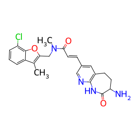 Cc1c(CN(C)C(=O)/C=C/c2cnc3c(c2)CCC(N)C(=O)N3)oc2c(Cl)cccc12